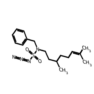 CC(C)=CCCC(C)CCN(Cc1ccccc1)S(=O)(=O)N=[N+]=[N-]